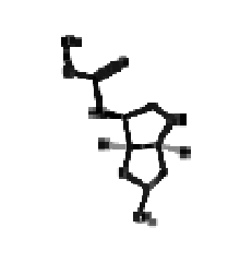 CC1C[C@@H]2NC[C@H](NC(=O)OC(C)(C)C)[C@@H]2O1